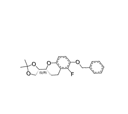 CC1(C)OC[C@@H]([C@H]2CCc3c(ccc(OCc4ccccc4)c3F)O2)O1